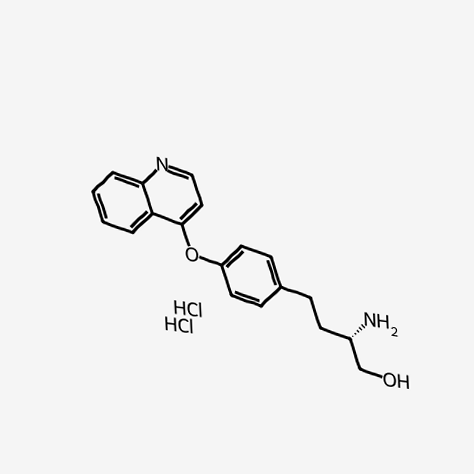 Cl.Cl.N[C@H](CO)CCc1ccc(Oc2ccnc3ccccc23)cc1